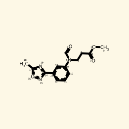 COC(=O)CCN(C=O)c1cccc(-c2noc(C)n2)c1